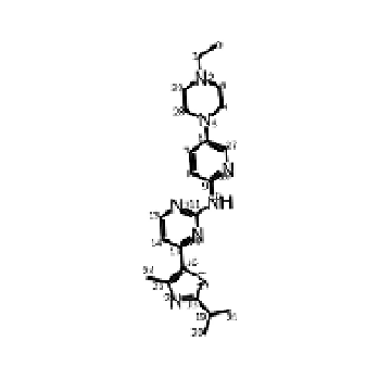 CCN1CCN(c2ccc(Nc3nccc(-c4sc(C(C)C)nc4C)n3)nc2)CC1